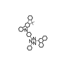 CC1(C)c2ccccc2-c2cc3c4ccccc4n(-c4ccc(-c5nc(-c6ccccc6)nc(-c6cc7ccccc7c7ccccc67)n5)cc4)c3cc21